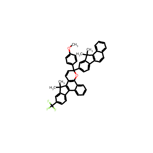 COc1ccc(C2(c3ccc4c(c3)C(C)(C)c3c-4ccc4ccccc34)C=Cc3c4c(c5ccccc5c3O2)-c2ccc(C(F)(F)F)cc2C4(C)C)cc1